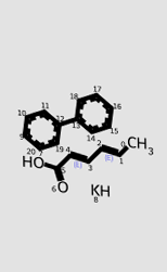 C/C=C/C=C/C(=O)O.[KH].c1ccc(-c2ccccc2)cc1